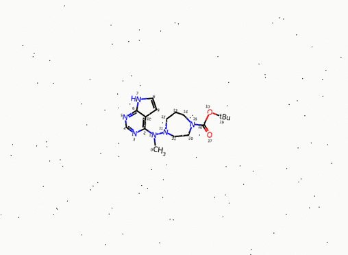 CN(c1ncnc2[nH]ccc12)N1CCCN(C(=O)OC(C)(C)C)CC1